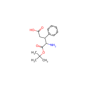 CC(C)(C)OC(=O)C(N)C(CC(=O)O)c1ccccc1